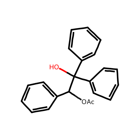 CC(=O)OC(c1ccccc1)C(O)(c1ccccc1)c1ccccc1